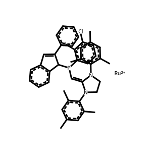 Cc1cc(C)c(N2CCN(c3c(C)cc(C)cc3C)C2=CP(c2cccc(Cl)c2Cl)C2C(c3ccccc3)=Cc3ccccc32)c(C)c1.[Ru+2]